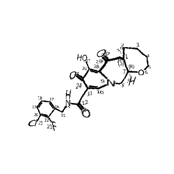 C[C@]12CCCCO[C@H]1Cn1cc(C(=O)NCc3cccc(Cl)c3F)c(=O)c(O)c1C2=O